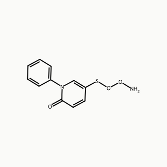 NOOSc1ccc(=O)n(-c2ccccc2)c1